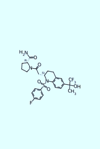 CC(O)(c1ccc2c(c1)CC[C@@H](CC(=O)N1CCC[C@@H]1C(N)=O)N2S(=O)(=O)c1ccc(F)cc1)C(F)(F)F